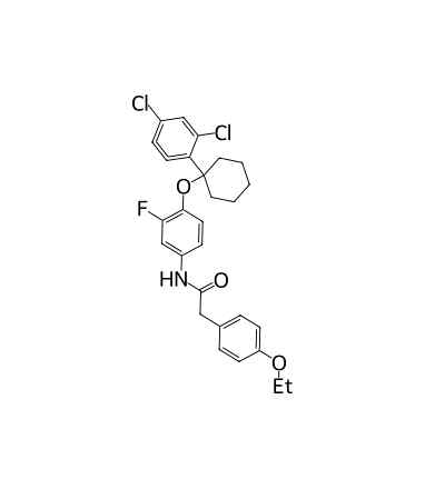 CCOc1ccc(CC(=O)Nc2ccc(OC3(C4=C=C=C(Cl)C=C4Cl)CCCCC3)c(F)c2)cc1